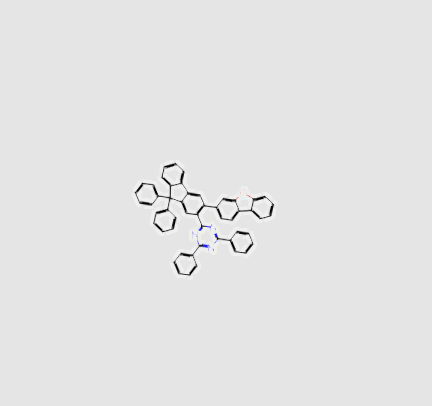 c1ccc(-c2nc(-c3ccccc3)nc(-c3cc4c(cc3-c3ccc5c(c3)oc3ccccc35)-c3ccccc3C4(c3ccccc3)c3ccccc3)n2)cc1